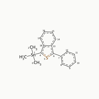 [CH3][Sn]([CH3])([CH3])[c]1sc(-c2ccccc2)c2ccccc12